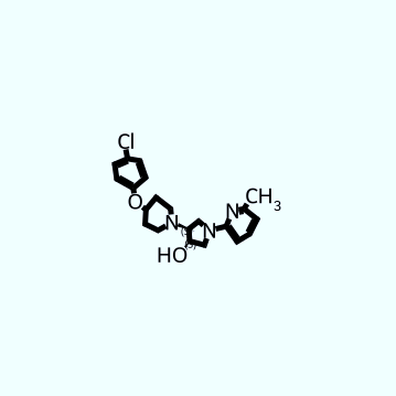 Cc1cccc(N2C[C@H](O)[C@@H](N3CCC(Oc4ccc(Cl)cc4)CC3)C2)n1